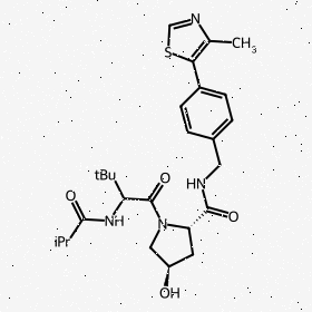 Cc1ncsc1-c1ccc(CNC(=O)[C@@H]2C[C@@H](O)CN2C(=O)C(NC(=O)C(C)C)C(C)(C)C)cc1